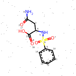 NC(=O)CC(NS(=O)(=O)c1ccccc1)C(=O)O